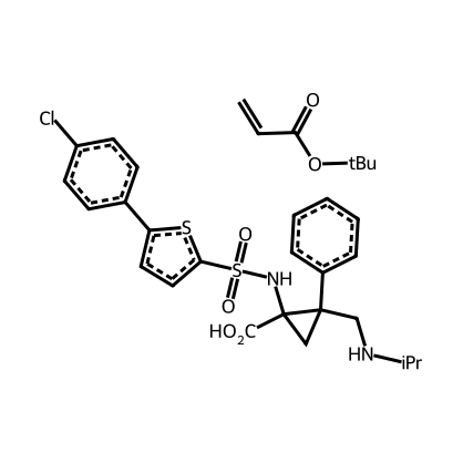 C=CC(=O)OC(C)(C)C.CC(C)NCC1(c2ccccc2)CC1(NS(=O)(=O)c1ccc(-c2ccc(Cl)cc2)s1)C(=O)O